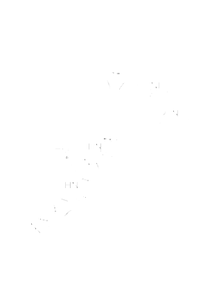 Cc1ncsc1-c1ccc([C@H](C)NC(=O)[C@@H]2C[C@@H](O)CN2C(=O)[C@@H](NC(=O)CCCCCc2cc(OC[C@@H](N)CCC(N)=O)ccc2F)C(C)(C)C)cc1